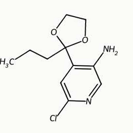 CCCC1(c2cc(Cl)ncc2N)OCCO1